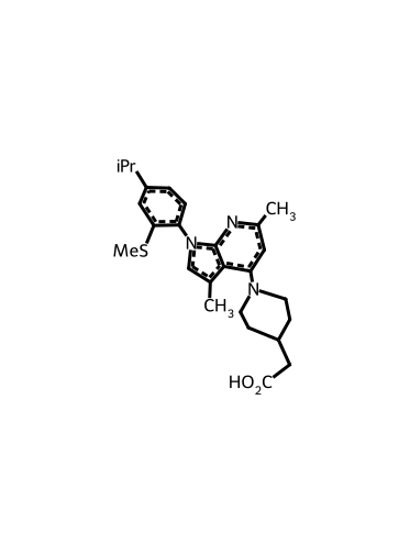 CSc1cc(C(C)C)ccc1-n1cc(C)c2c(N3CCC(CC(=O)O)CC3)cc(C)nc21